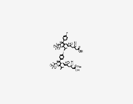 CC(C)c1nc(N(C)S(C)(=O)=O)nc(-c2ccc(F)cc2)c1C=C[C@@H](O)C[C@@H](O)CC(=O)O.CC(C)c1nc(N(C)S(C)(=O)=O)nc(-c2ccc(F)cc2)c1C=C[C@@H](O)C[C@@H](O)CC(=O)O.[Na]